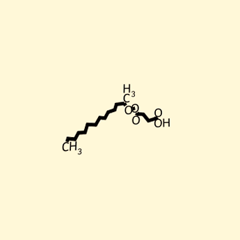 CCCCCCCCCCCCC(C)OOC(=O)CCC(=O)O